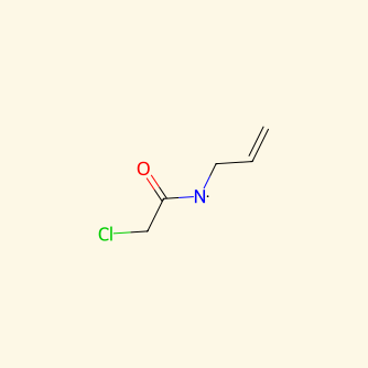 C=CC[N]C(=O)CCl